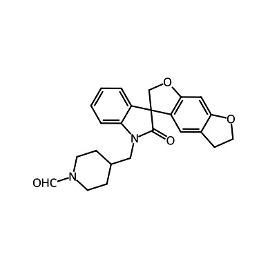 O=CN1CCC(CN2C(=O)C3(COc4cc5c(cc43)CCO5)c3ccccc32)CC1